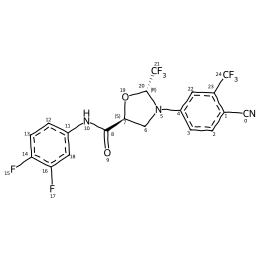 N#Cc1ccc(N2C[C@@H](C(=O)Nc3ccc(F)c(F)c3)O[C@@H]2C(F)(F)F)cc1C(F)(F)F